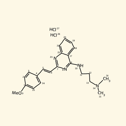 COc1ccc(C=Cc2nc(NCCCN(C)C)c3ccccc3n2)cc1.Cl.Cl